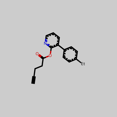 C#CCCC(=O)Oc1ncccc1-c1ccc(CC)cc1